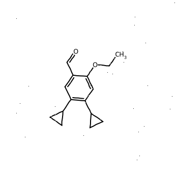 CCOc1cc(C2CC2)c(C2CC2)cc1C=O